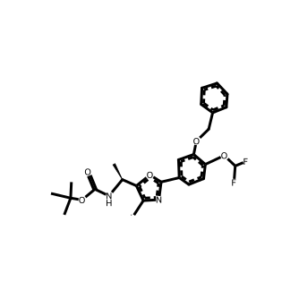 [CH2]c1nc(-c2ccc(OC(F)F)c(OCc3ccccc3)c2)oc1[C@H](C)NC(=O)OC(C)(C)C